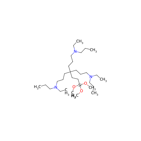 CCCN(CC)CCCC(CCCN(CC)CCC)(CCCN(CC)CCC)CC[Si](OC)(OC)OC